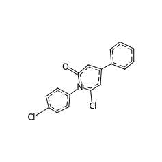 O=c1cc(-c2ccccc2)cc(Cl)n1-c1ccc(Cl)cc1